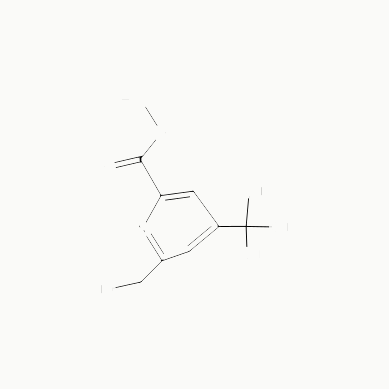 COC(=O)c1cc(C(C)(C)C)cc(CO)n1